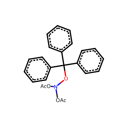 CC(=O)ON(OC(C)=O)OC(c1ccccc1)(c1ccccc1)c1ccccc1